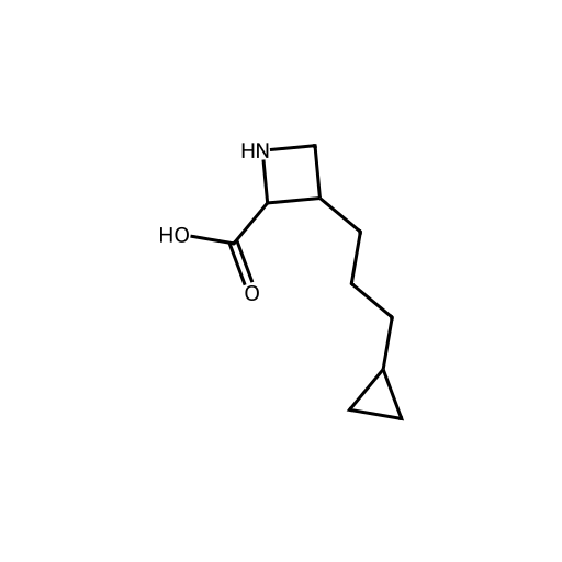 O=C(O)C1NCC1CCCC1CC1